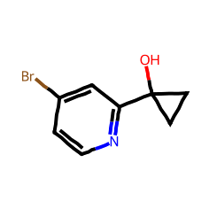 OC1(c2cc(Br)ccn2)CC1